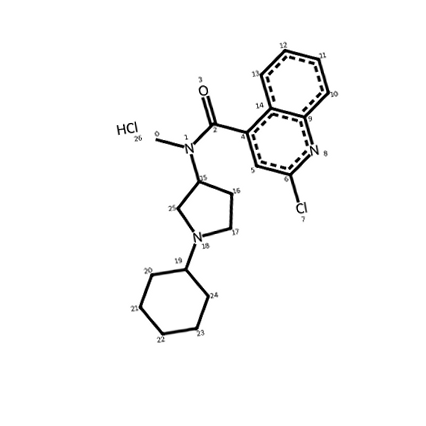 CN(C(=O)c1cc(Cl)nc2ccccc12)C1CCN(C2CCCCC2)C1.Cl